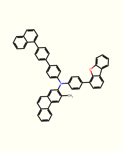 Cc1cc2c(ccc3ccccc32)cc1N(c1ccc(-c2ccc(-c3cccc4ccccc34)cc2)cc1)c1ccc(-c2cccc3c2oc2ccccc23)cc1